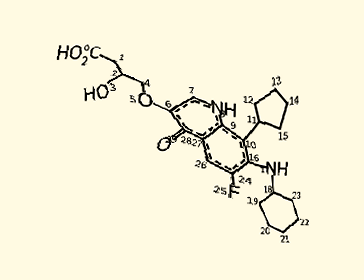 O=C(O)CC(O)COc1c[nH]c2c(C3CCCC3)c(NC3CCCCC3)c(F)cc2c1=O